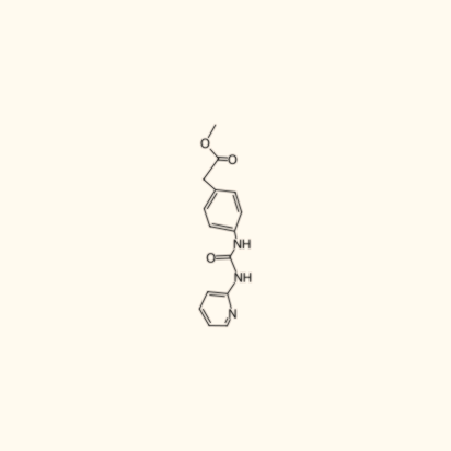 COC(=O)Cc1ccc(NC(=O)Nc2ccccn2)cc1